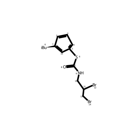 CC[C@H](C)c1cccc(SC(=O)NCC(Br)CBr)c1